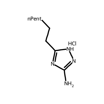 CCCCCCCc1nc(N)n[nH]1.Cl